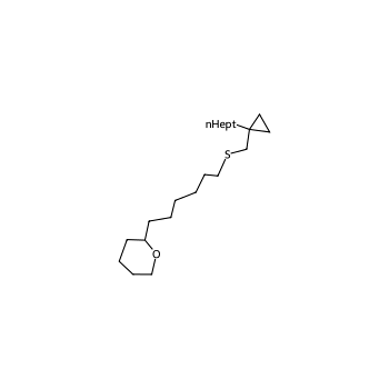 CCCCCCCC1(CSCCCCCCC2CCCCO2)CC1